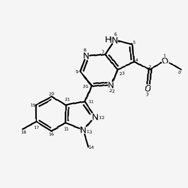 COC(=O)c1c[nH]c2ncc(-c3nn(C)c4cc(C)ccc34)nc12